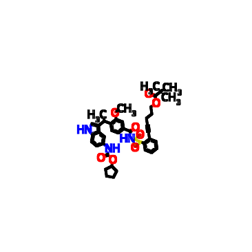 COc1cc(C(=O)NS(=O)(=O)c2ccccc2C#CCCCOC(=O)C(C)(C)C)ccc1C(C)c1c[nH]c2ccc(NC(=O)OC3CCCC3)cc12